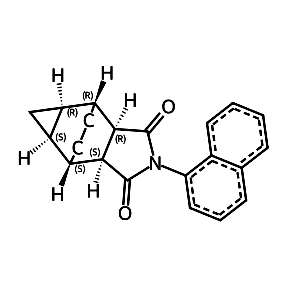 O=C1[C@@H]2[C@@H]3CC[C@@H]([C@H]4C[C@H]43)[C@@H]2C(=O)N1c1cccc2ccccc12